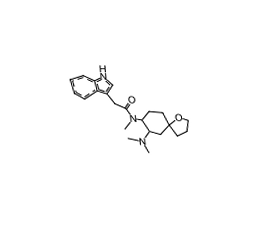 CN(C)C1CC2(CCCO2)CCC1N(C)C(=O)Cc1c[nH]c2ccccc12